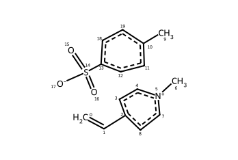 C=Cc1cc[n+](C)cc1.Cc1ccc(S(=O)(=O)[O-])cc1